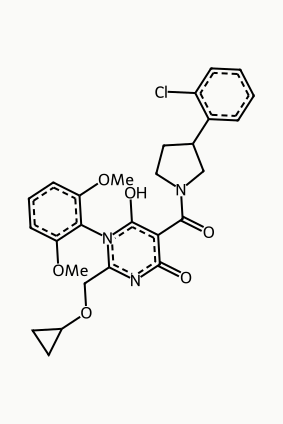 COc1cccc(OC)c1-n1c(COC2CC2)nc(=O)c(C(=O)N2CCC(c3ccccc3Cl)C2)c1O